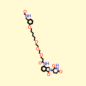 O=CNCc1cccc(OCCCCCCOCCOCCOCCC(=O)Nc2cccc3c2CN(C2CCC(=O)NC2=O)C3=O)c1